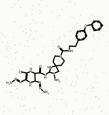 NN=NC1=C(Cl)NC(C(=O)NC2NC3(CCN(C(=O)NCCc4ccc(Oc5ccccc5)cc4)CC3)CN2N)C(N=NN)N1